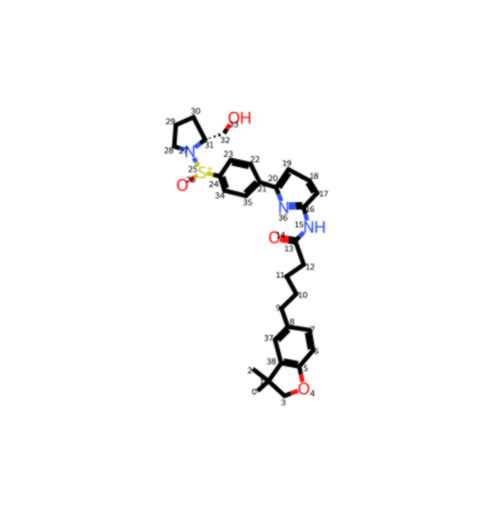 CC1(C)COc2ccc(CCCCC(=O)Nc3cccc(-c4ccc([S+]([O-])N5CCC[C@@H]5CO)cc4)n3)cc21